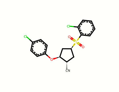 N#C[C@H]1C[C@H](S(=O)(=O)c2ccccc2Cl)C[C@@H]1Oc1ccc(Cl)cc1